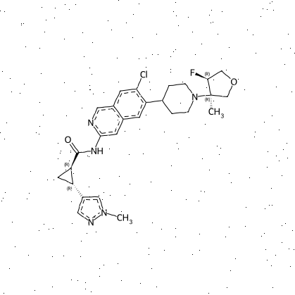 Cn1cc([C@@H]2C[C@H]2C(=O)Nc2cc3cc(C4CCN([C@]5(C)COC[C@@H]5F)CC4)c(Cl)cc3cn2)cn1